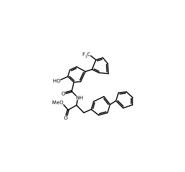 COC(=O)C(Cc1ccc(-c2ccccc2)cc1)NC(=O)c1cc(-c2ccccc2C(F)(F)F)ccc1O